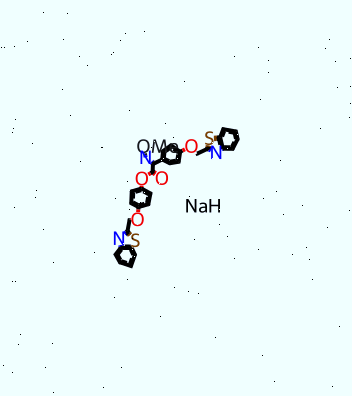 CON=C(C(=O)Oc1ccc(OCc2nc3ccccc3s2)cc1)c1ccc(OCc2nc3ccccc3s2)cc1.[NaH]